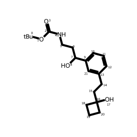 CC(C)(C)OC(=O)NCCC(O)c1cccc(CCC2(O)CCC2)c1